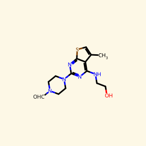 Cc1csc2nc(N3CCN(C=O)CC3)nc(NCCO)c12